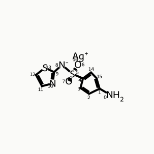 Nc1ccc(S(=O)(=O)[N-]c2nccs2)cc1.[Ag+]